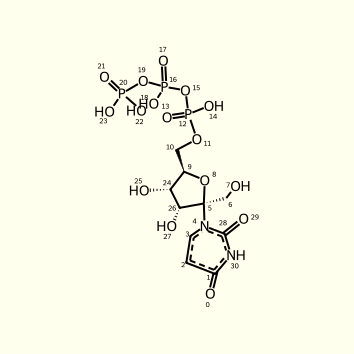 O=c1ccn([C@]2(CO)O[C@H](COP(=O)(O)OP(=O)(O)OP(=O)(O)O)[C@@H](O)[C@H]2O)c(=O)[nH]1